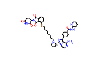 Nc1nccn2c([C@@H]3CCCN3CCCCCCCSc3cccc4c3C(=O)N(C3CCC(=O)NC3=O)C4=O)nc(-c3ccc(C(=O)Nc4ccccn4)cc3)c12